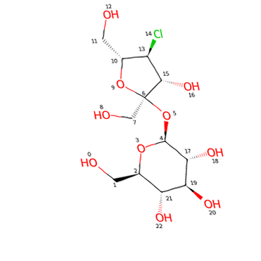 OC[C@H]1O[C@@H](O[C@@]2(CO)O[C@H](CO)[C@@H](Cl)[C@@H]2O)[C@H](O)[C@@H](O)[C@@H]1O